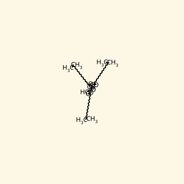 CC(C)CCCCCCCCCCCCCCC(=O)O[C@H]1[C@@H]([C@@H](CO)OC(=O)CCCCCCCCCCCCCCC(C)C)OC[C@@H]1OC(=O)CCCCCCCCCCCCCCC(C)C